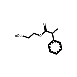 CCCCCCCCCCOC(=O)C(C)c1ccccc1